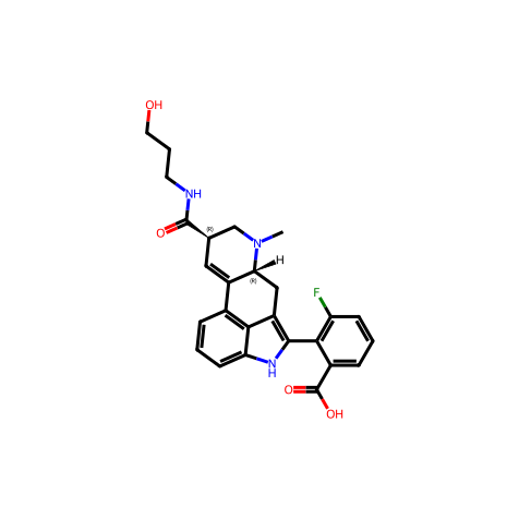 CN1C[C@H](C(=O)NCCCO)C=C2c3cccc4[nH]c(-c5c(F)cccc5C(=O)O)c(c34)C[C@H]21